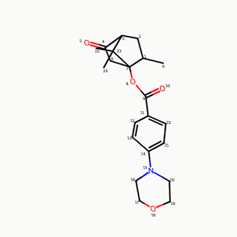 CC1CC2C(=O)CC1(OC(=O)c1ccc(N3CCOCC3)cc1)C2(C)C